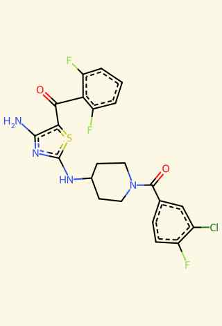 Nc1nc(NC2CCN(C(=O)c3ccc(F)c(Cl)c3)CC2)sc1C(=O)c1c(F)cccc1F